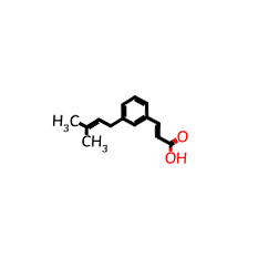 CC(C)=CCc1cccc(C=CC(=O)O)c1